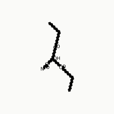 CCCCCCCC/C=C\CCCCCCCC(=O)OCCCCCCC(O)(CCCCCCOC(=O)CCCCCCC/C=C\CCCCCCCC)CCCCOC(=O)CCN(C)C